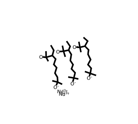 CCC(CCCCCC(C)(C)[O-])C(C)(C)[O-].CCC(CCCCCC(C)(C)[O-])C(C)(C)[O-].CCC(CCCCCC(C)(C)[O-])C(C)(C)[O-].[Nd+3].[Nd+3]